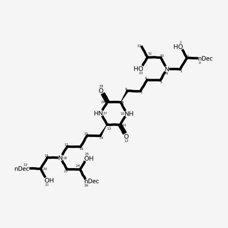 CCCCCCCCCCC(O)CN(CCCC[C@H]1NC(=O)[C@@H](CCCCN(CC(O)CCCCCCCCCC)CC(O)CCCCCCCCCC)NC1=O)CC(C)O